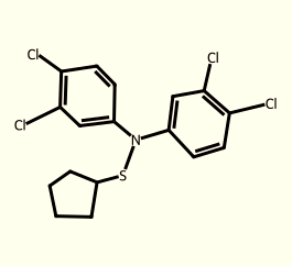 Clc1ccc(N(SC2CCCC2)c2ccc(Cl)c(Cl)c2)cc1Cl